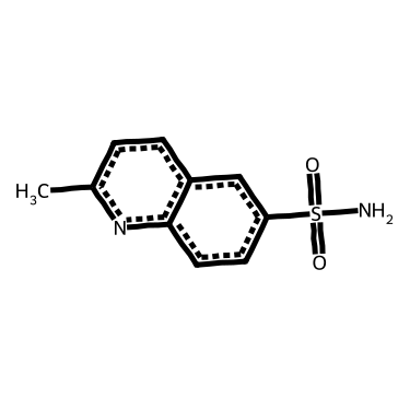 Cc1ccc2cc(S(N)(=O)=O)ccc2n1